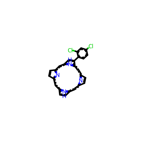 Clc1ccc(-c2cc3cc4nc(cc5ccc(cc6nc(cc2[nH]3)C=C6)[nH]5)C=C4)c(Cl)c1